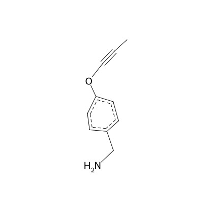 CC#COc1ccc(CN)cc1